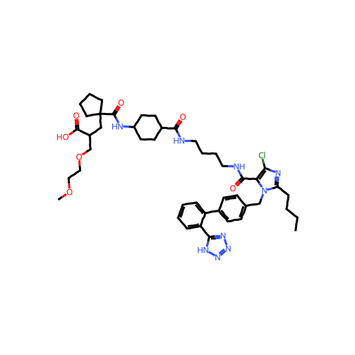 CCCCc1nc(Cl)c(C(=O)NCCCCNC(=O)C2CCC(NC(=O)C3(CC(COCCOC)C(=O)O)CCCC3)CC2)n1Cc1ccc(-c2ccccc2-c2nnn[nH]2)cc1